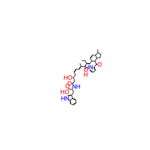 CC/C(=C\C1C=CC2C(C)CCC2C1C(=O)c1ccc[nH]1)C(O)/C(C)=C/C=C\CC(O)CC(=O)NC(Cc1c[nH]c2ccccc12)C(=O)O